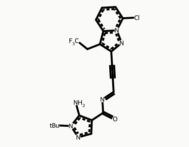 CC(C)(C)n1ncc(C(=O)N=CC#Cc2nn3c(Cl)cccc3c2CC(F)(F)F)c1N